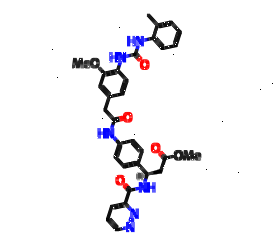 COC(=O)C[C@@H](NC(=O)c1cccnn1)c1ccc(NC(=O)Cc2ccc(NC(=O)Nc3ccccc3C)c(OC)c2)cc1